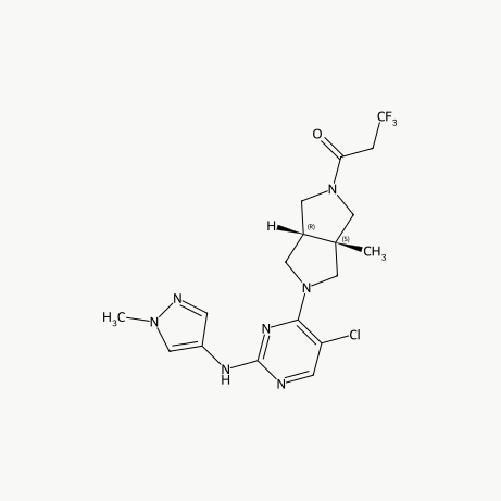 Cn1cc(Nc2ncc(Cl)c(N3C[C@@H]4CN(C(=O)CC(F)(F)F)C[C@]4(C)C3)n2)cn1